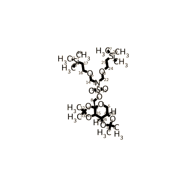 CC1(C)O[C@@H]2CO[C@@]3(COS(=O)(=O)N(COCC[Si](C)(C)C)COCC[Si](C)(C)C)OC(C)(C)OC3[C@@H]2O1